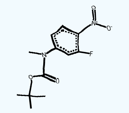 CN(C(=O)OC(C)(C)C)c1ccc([N+](=O)[O-])c(F)c1